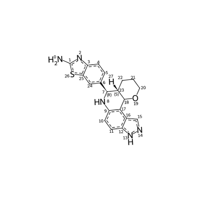 Nc1nc2ccc([C@@H]3Nc4ccc5[nH]ncc5c4C4OCCC[C@H]43)cc2s1